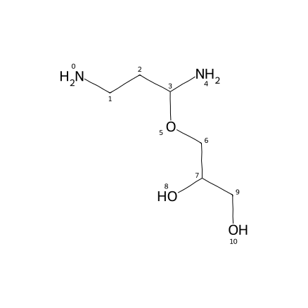 NCCC(N)OCC(O)CO